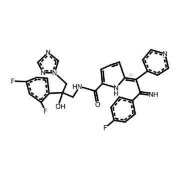 N=C(/C(=C1/C=CC=C(C(=O)NCC(O)(Cn2cncn2)c2ccc(F)cc2F)N1)c1ccncc1)c1ccc(F)cc1